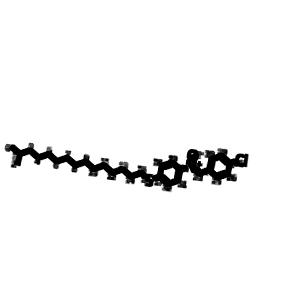 CC(C)CCCCCCCCCCCCCSc1ccc([N+]([O-])=Cc2ccc(Cl)cc2)cc1